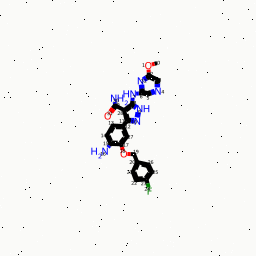 COc1cncc(Nc2[nH]nc(-c3ccc(N)c(OCc4ccc(F)cc4)c3)c2C(N)=O)n1